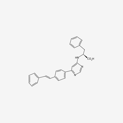 O=C(O)[C@H](Cc1ccccc1)Nc1cc(-c2ccc(C=Cc3ccccc3)cc2)ncn1